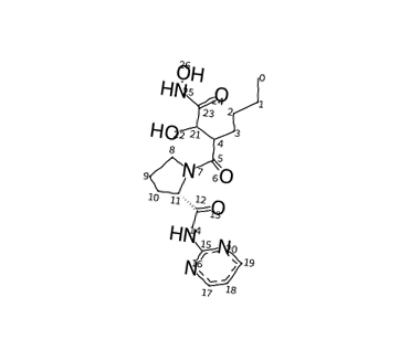 CCCCC(C(=O)N1CCC[C@H]1C(=O)Nc1ncccn1)C(O)C(=O)NO